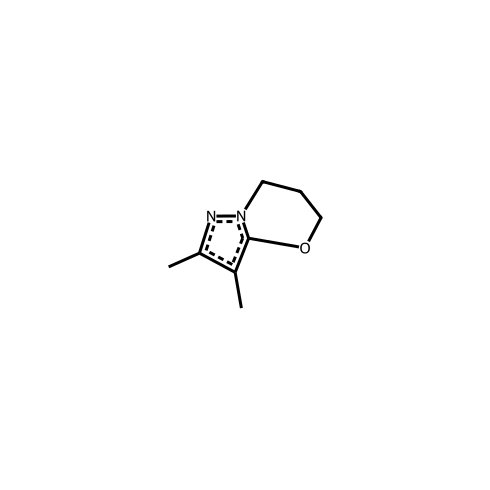 Cc1nn2c(c1C)OCCC2